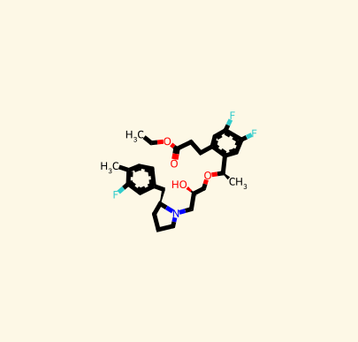 CCOC(=O)CCc1cc(F)c(F)cc1[C@@H](C)OC[C@H](O)CN1CCC[C@H]1Cc1ccc(C)c(F)c1